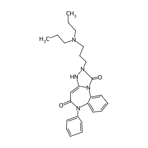 CCCN(CCC)CCCN1NC2=CC(=O)N(c3ccccc3)c3ccccc3N2C1=O